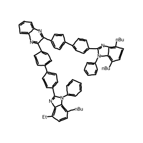 CCCCc1ccc(CCCC)c2c1nc(-c1ccc(-c3ccc(-c4nc5ccccc5nc4-c4ccc(-c5ccc(-c6nc7c(CC)ccc(CCCC)c7n6-c6ccccc6)cc5)cc4)cc3)cc1)n2-c1ccccc1